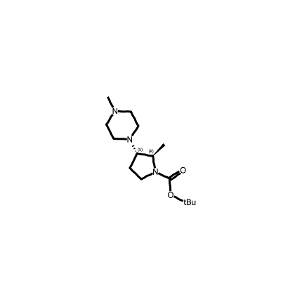 C[C@@H]1[C@@H](N2CCN(C)CC2)CCN1C(=O)OC(C)(C)C